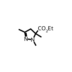 CCOC(=O)C1(C)CC(C)=NN1C